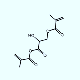 C=C(C)C(=O)OCC(O)C(=O)OC(=O)C(=C)C